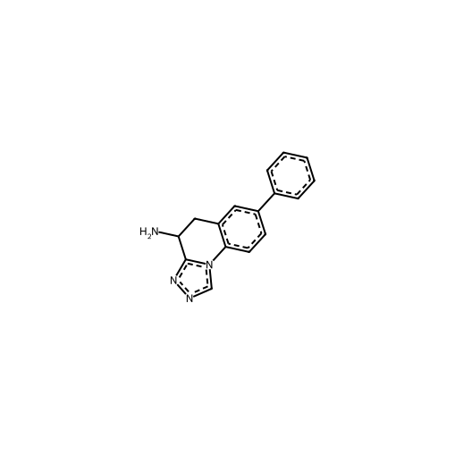 NC1Cc2cc(-c3ccccc3)ccc2-n2cnnc21